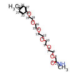 CNC(=O)COCCOCCOCCOCCOCCOc1ccc(C)cc1